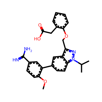 COc1ccc(C(=N)N)cc1-c1ccc2c(c1)c(COc1ccccc1CC(=O)O)nn2C(C)C